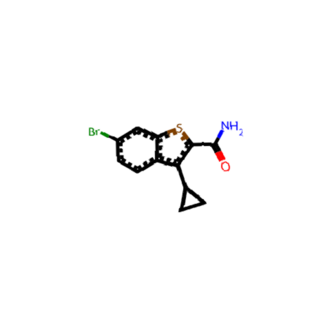 NC(=O)c1sc2cc(Br)ccc2c1C1CC1